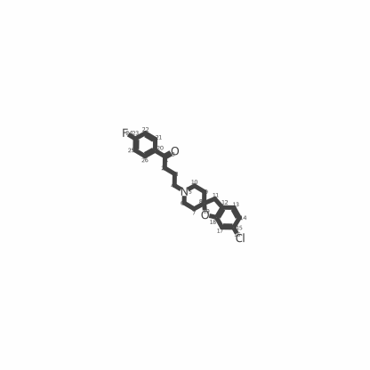 O=C(CCCN1CCC2(CC1)Cc1ccc(Cl)cc1O2)c1ccc(F)cc1